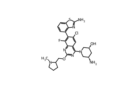 CN1CCCC1COc1nc(N2C[C@H](N)C[C@H](O)C2)c2cc(Cl)c(-c3cccc4sc(N)nc34)c(F)c2n1